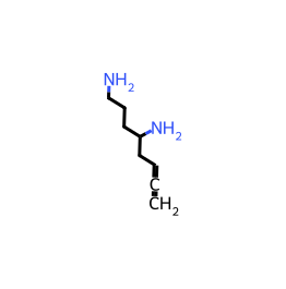 C=C=CCC(N)CCCN